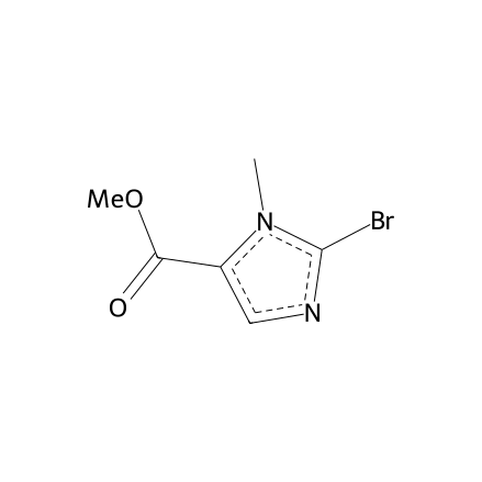 COC(=O)c1cnc(Br)n1C